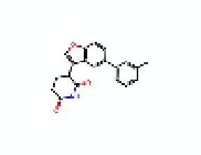 Cc1cccc(-c2ccc3occ(C4CCC(=O)NC4=O)c3c2)c1